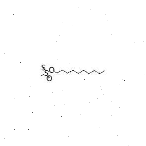 CCCCCCCCCCOS(C)(=O)=S